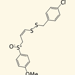 COc1ccc([S+]([O-])C/C=C\SSCc2ccc(Cl)cc2)cc1